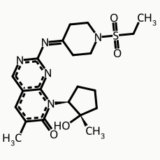 CCS(=O)(=O)N1CCC(=Nc2ncc3cc(C)c(=O)n([C@H]4CCC[C@]4(C)O)c3n2)CC1